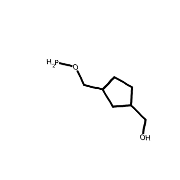 OCC1CCC(COP)C1